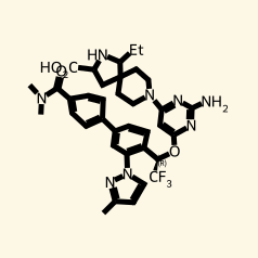 CCC1NC(C(=O)O)CC12CCN(c1cc(O[C@H](c3ccc(-c4ccc(C(=O)N(C)C)cc4)cc3-n3ccc(C)n3)C(F)(F)F)nc(N)n1)CC2